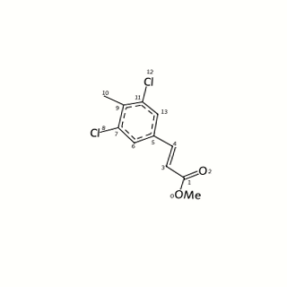 COC(=O)/C=C/c1cc(Cl)c(C)c(Cl)c1